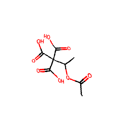 CC(=O)OC(C)C(C(=O)O)(C(=O)O)C(=O)O